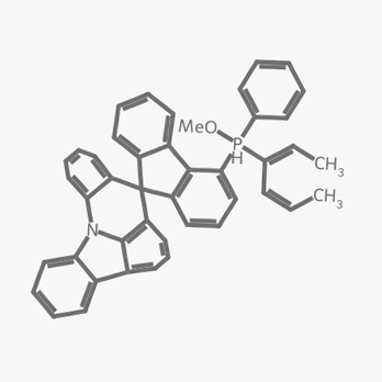 C/C=C\C(=C/C)[PH](OC)(c1ccccc1)c1cccc2c1-c1ccccc1C21c2ccccc2-n2c3ccccc3c3cccc1c32